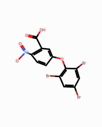 O=C(O)c1cc(Oc2c(Br)cc(Br)cc2Br)ccc1[N+](=O)[O-]